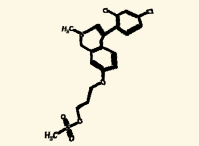 CN1Cc2cc(OCCCOS(C)(=O)=O)ccc2C(c2ccc(Cl)cc2Cl)C1